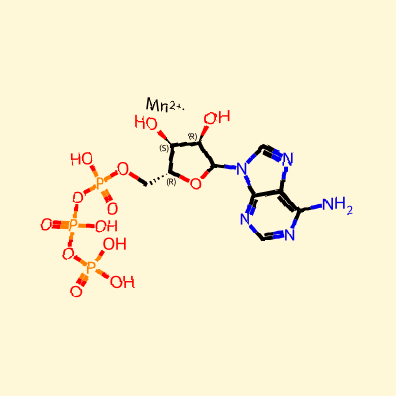 Nc1ncnc2c1ncn2C1O[C@H](COP(=O)(O)OP(=O)(O)OP(=O)(O)O)[C@@H](O)[C@H]1O.[Mn+2]